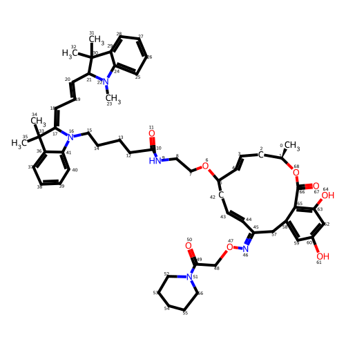 C[C@@H]1C/C=C/C(OCCNC(=O)CCCCN2/C(=C\C=C\C3N(C)c4ccccc4C3(C)C)C(C)(C)c3ccccc32)C/C=C/C(=N\OCC(=O)N2CCCCC2)Cc2cc(O)cc(O)c2C(=O)O1